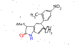 CSC1C(=O)Nc2cc(C)c(-c3ccc([N+](=O)[O-])cc3C)cc21